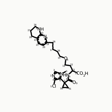 Cn1cnc(Cl)c1C1(C(=O)NC(CCOCCCCc2ccc3c(n2)NCCC3)C(=O)O)CC1